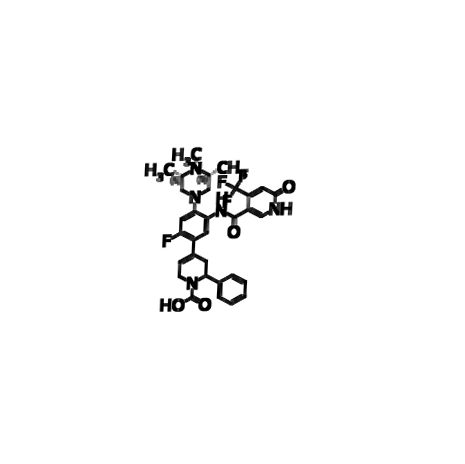 C[C@@H]1CN(c2cc(F)c(C3=CCN(C(=O)O)C(c4ccccc4)C3)cc2NC(=O)c2c[nH]c(=O)cc2C(F)(F)F)C[C@H](C)N1C